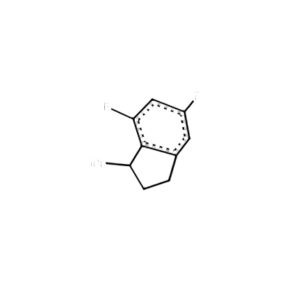 CC(C)C1CCc2cc(F)cc(F)c21